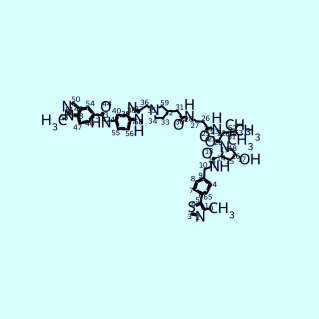 Cc1ncsc1-c1ccc(CNC(=O)[C@@H]2C[C@@H](O)CN2C(=O)C(NC(=O)CCNC(=O)CC2CCN(Cc3nc4cc(NC(=O)c5ccc6c(cnn6C)c5)ccc4[nH]3)C2)C(C)(C)C)cc1